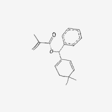 C=C(C)C(=O)OC(C1=CCC(C)(C)C=C1)c1ccccc1